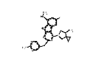 CNc1cc(F)cc2c1[nH]c1nc(Cc3cnc(C)nc3)nc(N3CC(N)C4(CC4)C3)c12